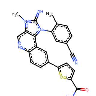 Cc1ccc(C#N)cc1-n1c(=N)n(C)c2cnc3ccc(-c4ccc(C(N)=O)s4)cc3c21